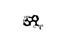 CNC(=O)c1cccc2[nH]c3ncccc3c12